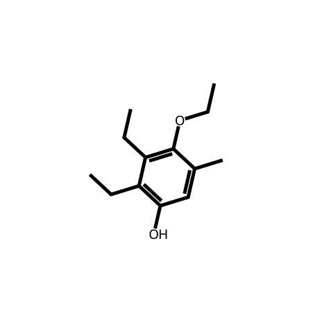 CCOc1c(C)cc(O)c(CC)c1CC